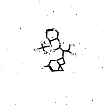 CC(C)(C)OC1CC=NCC1NC(O)C(C(N)N)C1CC23CC2C=C(F)CN13